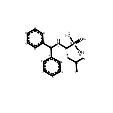 CC(C)C[C@H](NC(c1ccccc1)c1ccccc1)P(=O)(O)O